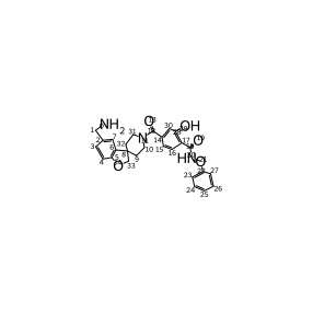 NCc1ccc2c(c1)C1(CCN(C(=O)c3ccc(C(=O)NOc4ccccc4)c(O)c3)CC1)CO2